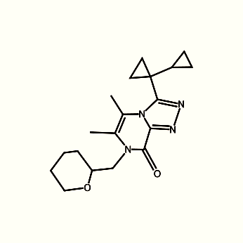 Cc1c(C)n2c(C3(C4CC4)CC3)nnc2c(=O)n1CC1CCCCO1